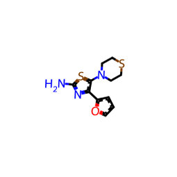 Nc1nc(-c2ccco2)c(N2CCSCC2)s1